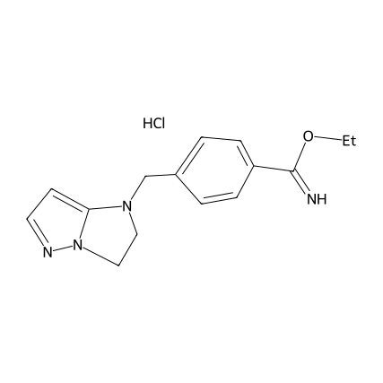 CCOC(=N)c1ccc(CN2CCn3nccc32)cc1.Cl